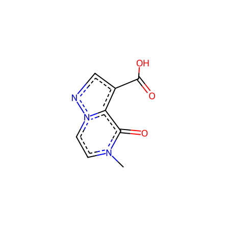 Cn1ccn2ncc(C(=O)O)c2c1=O